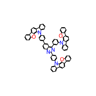 c1cc(-c2nc(-c3ccc(-n4c5ccccc5c5ccc6c7ccccc7oc6c54)cc3)nc3ccc(-c4ccc(-n5c6ccccc6c6ccc7c8ccccc8oc7c65)cc4)cc23)cc(-n2c3ccccc3c3ccc4c5ccccc5oc4c32)c1